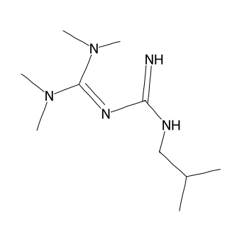 CC(C)CNC(=N)N=C(N(C)C)N(C)C